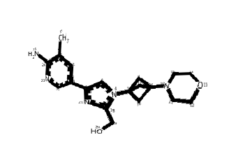 Cc1cc(-c2cn(C34CC(N5CCOCC5)(C3)C4)c(CO)n2)cnc1N